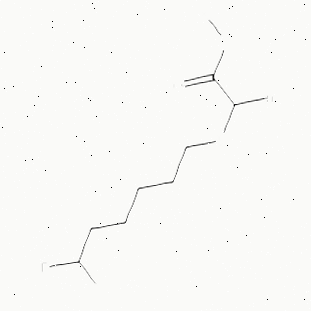 CCCC(SCCCCCC(F)F)C(=O)OC(C)C